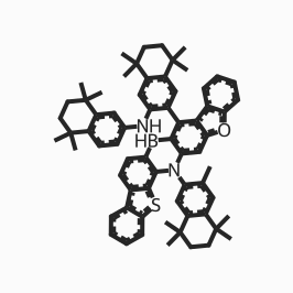 Cc1cc2c(cc1N1c3cc4oc5ccccc5c4c(-c4cc5c(cc4Nc4ccc6c(c4)C(C)(C)CCC6(C)C)C(C)(C)CCC5(C)C)c3Bc3ccc4c(sc5ccccc54)c31)C(C)(C)CCC2(C)C